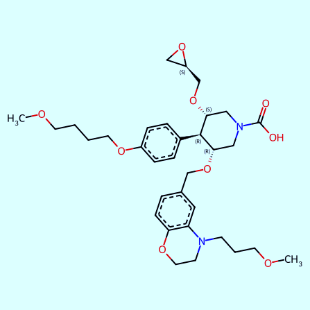 COCCCCOc1ccc([C@@H]2[C@@H](OCc3ccc4c(c3)N(CCCOC)CCO4)CN(C(=O)O)C[C@H]2OC[C@H]2CO2)cc1